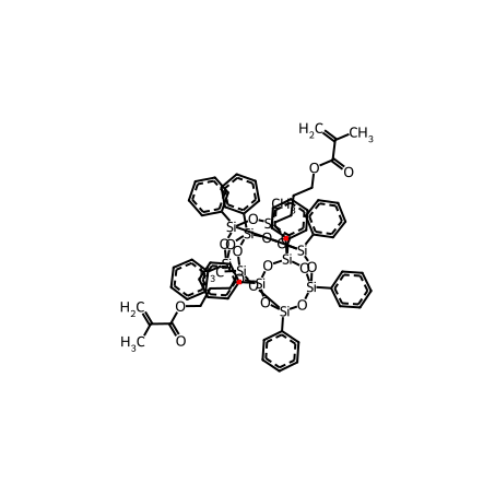 C=C(C)C(=O)OCCC[Si]1(C)O[Si]2(c3ccccc3)O[Si]3(c4ccccc4)O[Si]4(c5ccccc5)O[Si](C)(CCCOC(=O)C(=C)C)O[Si]5(c6ccccc6)O[Si](c6ccccc6)(O[Si](c6ccccc6)(O1)O[Si](c1ccccc1)(O5)O[Si](c1ccccc1)(O2)O4)O3